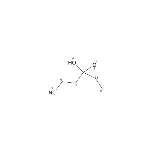 CC1OC1(O)CCC#N